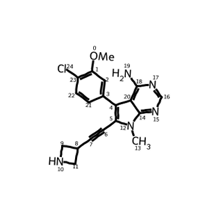 COc1cc(-c2c(C#CC3CNC3)n(C)c3ncnc(N)c23)ccc1Cl